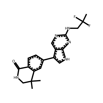 CC(F)(F)CNc1ncc2c(-c3ccc4c(c3)C(C)(C)CNC4=O)c[nH]c2n1